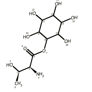 C[C@@H](O)[C@H](N)C(=O)OC1C(O)C(O)C(O)C(O)C1O